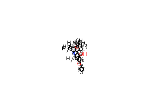 CC(C)c1nc2c(c(C3=CCCC3)c1C(O)c1ccc(OCc3ccccc3)cc1)[C@@H](O[Si](C)(C)C(C)(C)C)CC(C)(C)C2